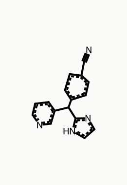 N#Cc1ccc(C(c2cccnc2)c2ncc[nH]2)cc1